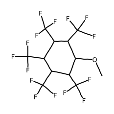 COC1C(C(F)(F)F)C(C(F)(F)F)C(C(F)(F)F)C(C(F)(F)F)C1C(F)(F)F